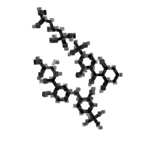 CS(=O)(=O)c1ccc(C(=O)C2C(=O)CCCC2=O)c(Cl)c1.C[C@H](OC(=O)c1cc(Oc2ccc(C(F)(F)F)cc2Cl)ccc1Cl)C(=O)O.O=C(O)CNCP(=O)(O)O